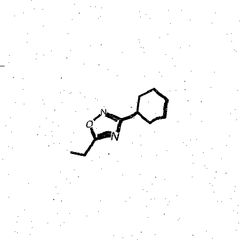 CCc1nc(C2CCCCC2)no1